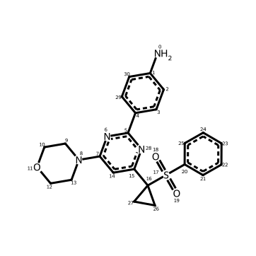 Nc1ccc(-c2nc(N3CCOCC3)cc(C3(S(=O)(=O)c4ccccc4)CC3)n2)cc1